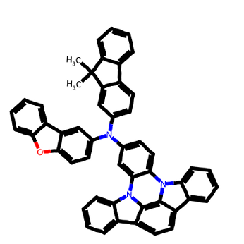 CC1(C)c2ccccc2-c2ccc(N(c3ccc4oc5ccccc5c4c3)c3ccc4c(c3)n3c5ccccc5c5ccc6c7ccccc7n4c6c53)cc21